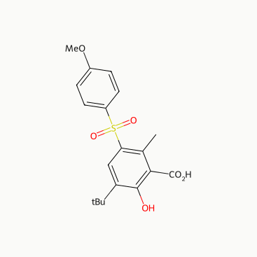 COc1ccc(S(=O)(=O)c2cc(C(C)(C)C)c(O)c(C(=O)O)c2C)cc1